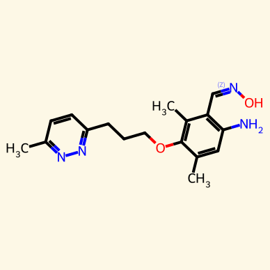 Cc1ccc(CCCOc2c(C)cc(N)c(/C=N\O)c2C)nn1